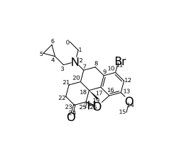 CCN(CC1CC1)C1Cc2c(Br)cc(OC)c3c2[C@@]2(C)C1CCC(=O)[C@H]2O3